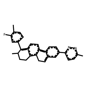 Cc1ccc(-c2ccc3c(c2)=CCc2c4c(ccc2=3)=C(c2ccc(C)c(F)c2)C(C)CC4)nn1